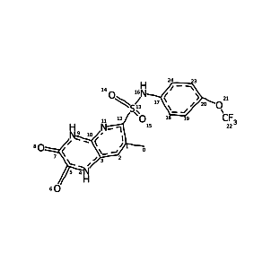 Cc1cc2[nH]c(=O)c(=O)[nH]c2nc1S(=O)(=O)Nc1ccc(OC(F)(F)F)cc1